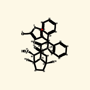 CN(Cc1csc(Cl)c1)C(=O)N1[C@H]2CC[C@@H]1[C@@H](C(=O)O)N(C(=O)N(c1ccccc1)c1ccccc1)C2